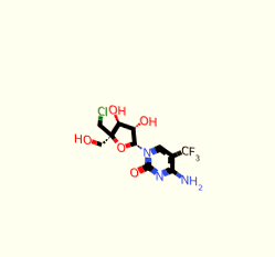 Nc1nc(=O)n([C@@H]2O[C@@](CO)(CCl)[C@@H](O)[C@@H]2O)cc1C(F)(F)F